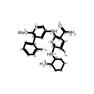 COc1ncc(Nc2nc(NC3CCCCC3N)c(F)cc2C(N)=O)cc1-c1ccccc1F